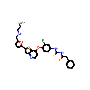 COCCNCc1ccc(-c2cc3nccc(Oc4ccc(NC(=S)NC(=O)Cc5ccccc5)cc4F)c3s2)o1